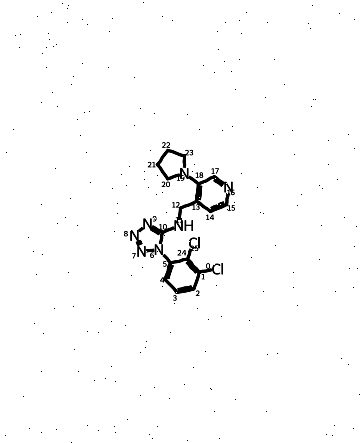 Clc1cccc(-n2nnnc2NCc2ccncc2N2CCCC2)c1Cl